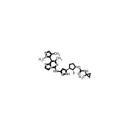 Cc1cnn(C)c1-c1c(C)nc(Nc2cc([C@H]3CC[C@@H](OC(=O)NC4(C)CC4)[C@@H]3F)[nH]n2)n2ccnc12